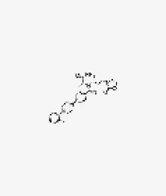 Cc1ccccc1N1CCN(c2[c]cc3c(c2)CC(C(N)=O)N(CCCN2CCOC2=O)C3=O)CC1